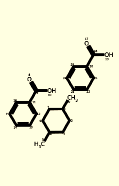 CC1CCC(C)CC1.O=C(O)c1ccccc1.O=C(O)c1ccccc1